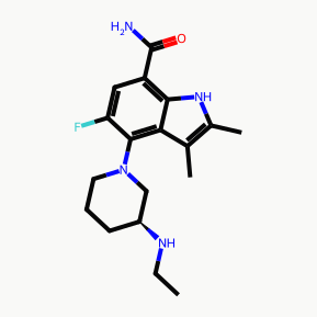 CCN[C@H]1CCCN(c2c(F)cc(C(N)=O)c3[nH]c(C)c(C)c23)C1